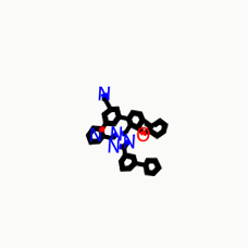 N#Cc1cc(C#N)cc(-c2ccc3c(oc4ccccc43)c2-c2nc(-c3ccccc3)nc(-c3cccc(-c4ccccc4)c3)n2)c1